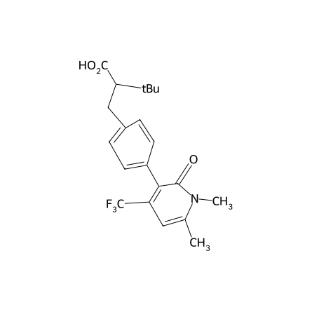 Cc1cc(C(F)(F)F)c(-c2ccc(CC(C(=O)O)C(C)(C)C)cc2)c(=O)n1C